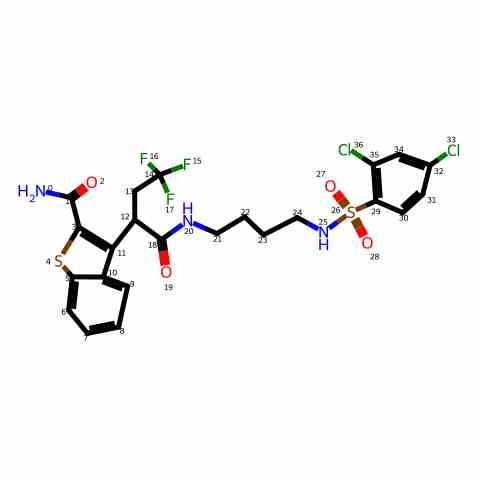 NC(=O)c1sc2ccccc2c1C(CC(F)(F)F)C(=O)NCCCCNS(=O)(=O)c1ccc(Cl)cc1Cl